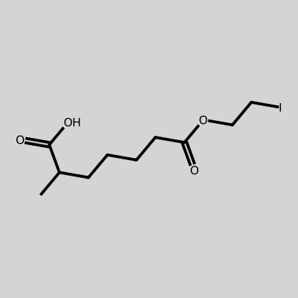 CC(CCCCC(=O)OCCI)C(=O)O